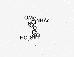 COc1cc2nccc(Oc3ccc(NC(=O)O)c(Cl)c3)c2cc1NC(C)=O